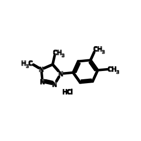 Cc1ccc(N2N=NN(C)C2C)cc1C.Cl